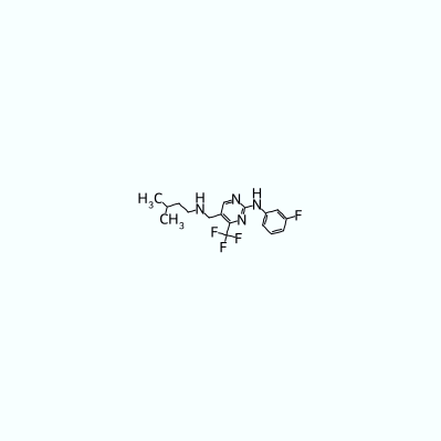 CC(C)CCNCc1cnc(Nc2cccc(F)c2)nc1C(F)(F)F